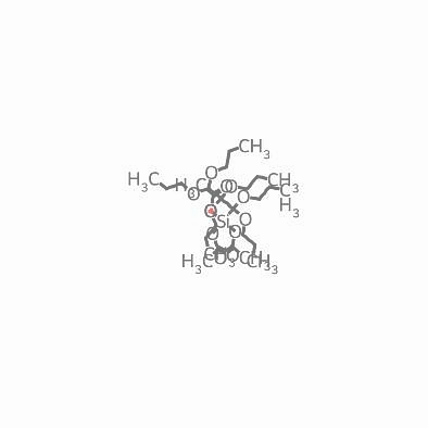 CCCOC(OCCC)C(OCCC)(OCCC)C(OCCC)(OCCC)[Si](OC(C)=O)(OC(C)=O)OC(C)=O